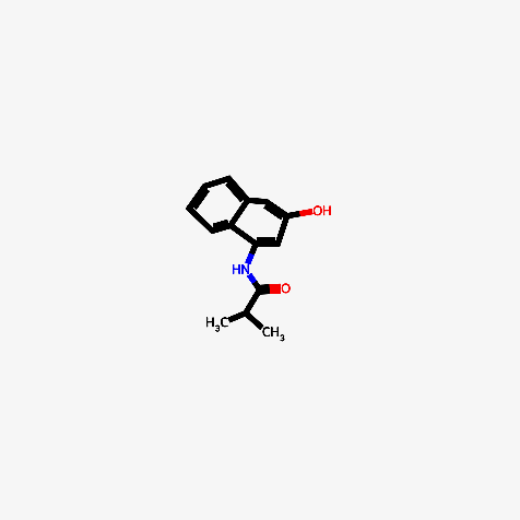 CC(C)C(=O)Nc1cc(O)cc2ccccc12